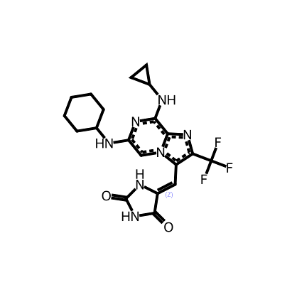 O=C1NC(=O)/C(=C/c2c(C(F)(F)F)nc3c(NC4CC4)nc(NC4CCCCC4)cn23)N1